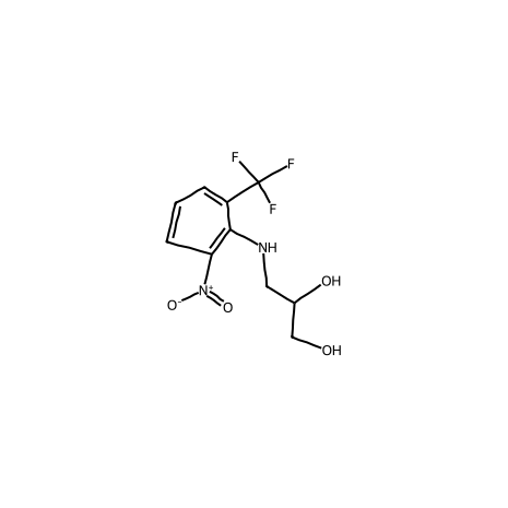 O=[N+]([O-])c1cccc(C(F)(F)F)c1NCC(O)CO